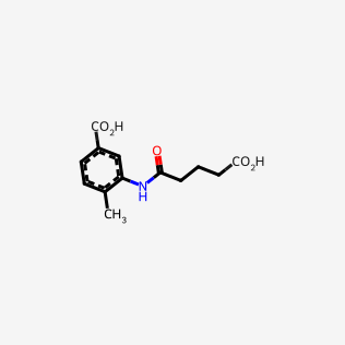 Cc1ccc(C(=O)O)cc1NC(=O)CCCC(=O)O